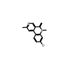 C=C1c2cnc(C)cc2-c2ccc(Cl)cc2N1C